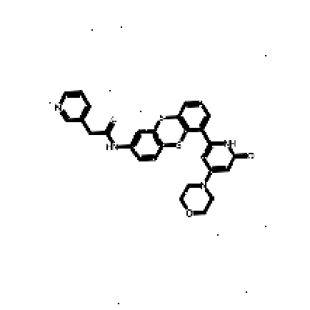 O=C(Cc1cccnc1)Nc1ccc2c(c1)Sc1cccc(-c3cc(N4CCOCC4)cc(=O)[nH]3)c1S2